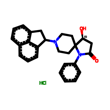 Cl.O=C1C[C@H](O)C2(CCN(C3Cc4cccc5cccc3c45)CC2)N1c1ccccc1